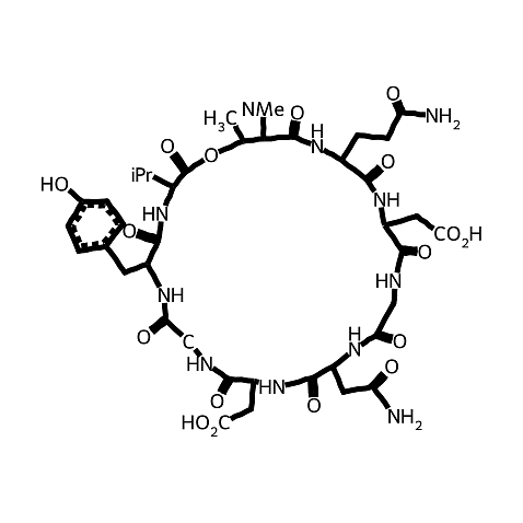 CNC1C(=O)NC(CCC(N)=O)C(=O)NC(CC(=O)O)C(=O)NCC(=O)NC(CC(N)=O)C(=O)NC(CC(=O)O)C(=O)NCC(=O)NC(Cc2ccc(O)cc2)C(=O)NC(C(C)C)C(=O)OC1C